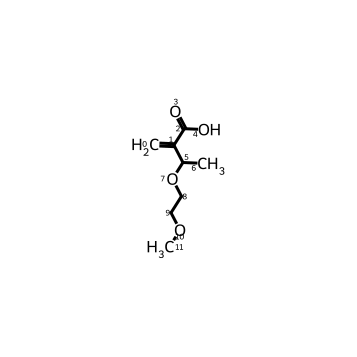 C=C(C(=O)O)C(C)OCCOC